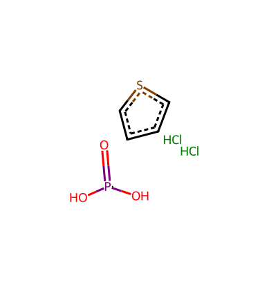 Cl.Cl.O=[P](O)O.c1ccsc1